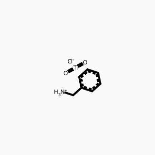 [Cl-].[NH3+]Cc1ccccc1.[O]=[Ti]=[O]